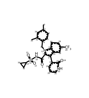 Cc1ccc(Cn2c(C(=O)NS(=O)(=O)C3CC3)c(-c3ccc[nH]c3=O)c3cc(C(F)(F)F)ccc32)c(C)c1